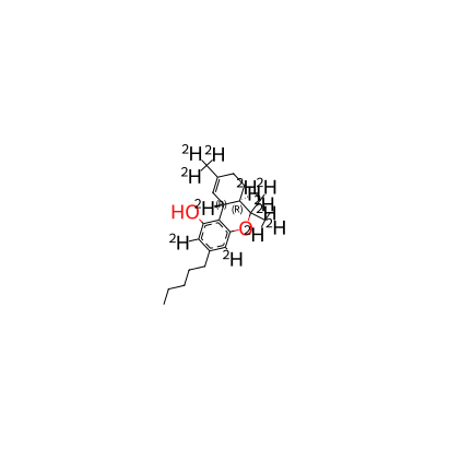 [2H]c1c(O)c2c(c([2H])c1CCCCC)OC(C([2H])([2H])[2H])(C([2H])([2H])[2H])[C@@H]1CCC(C([2H])([2H])[2H])=C[C@@]21[2H]